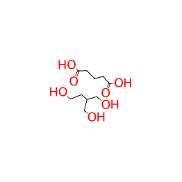 O=C(O)CCCC(=O)O.OCCC(CO)CO